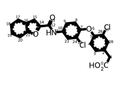 O=C(O)Cc1ccc(Oc2ccc(NC(=O)c3cc4ccccc4o3)cc2Cl)c(Cl)c1